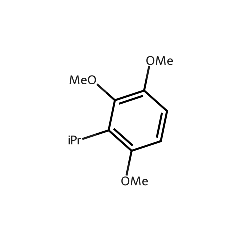 COc1ccc(OC)c(C(C)C)c1OC